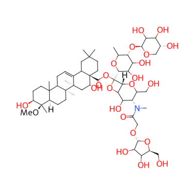 CO[C@]1(C)[C@@H]2CC[C@@]3(C)C(CC=C4C5CC(C)(C)CC[C@]5(C(=O)OC5([C@@H]6OC(C)[C@H](O[C@@H]7OC[C@@H](O)C(O)C7O)C(O)C6O)OC6C(O)[C@@H](N(C)C(=O)CO[C@@H]7O[C@@H](CO)C(O)C7O)C(CO)O[C@H]65)C(O)C[C@]43C)C2(C)CC[C@@H]1O